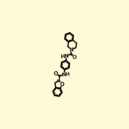 O=C(Nc1ccc(NC(=O)N2CCc3ccccc3C2)cc1)[C@@H]1Cc2ccccc2O1